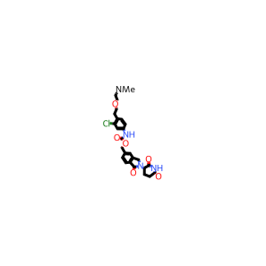 CNCCOCCc1ccc(NC(=O)OCc2ccc3c(c2)CN(C2CCC(=O)NC2=O)C3=O)cc1Cl